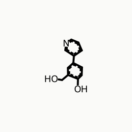 OCc1cc(-c2cccnc2)ccc1O